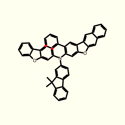 CC1(C)c2ccccc2-c2ccc(N(c3ccc4c(c3)oc3ccccc34)c3cc4oc5cc6ccccc6cc5c4cc3-c3ccccc3)cc21